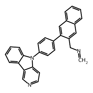 C=NCc1cc2ccccc2cc1-c1ccc(-n2c3ccccc3c3cnccc32)cc1